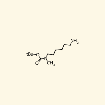 CN(CCCCCCN)C(=O)OC(C)(C)C